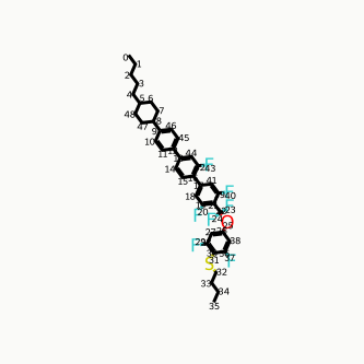 CCCCCC1CCC(c2ccc(-c3ccc(-c4cc(F)c(C(F)(F)Oc5cc(F)c(SCCCC)c(F)c5)c(F)c4)c(F)c3)cc2)CC1